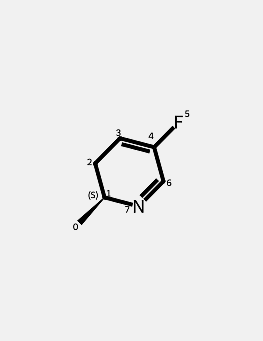 C[C@H]1CC=C(F)C=N1